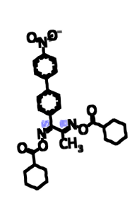 CC(=N\OC(=O)C1CCCCC1)/C(=N\OC(=O)C1CCCCC1)c1ccc(-c2ccc([N+](=O)[O-])cc2)cc1